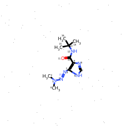 CN(C)/N=N/c1[nH]cnc1C(=O)NC(C)(C)C